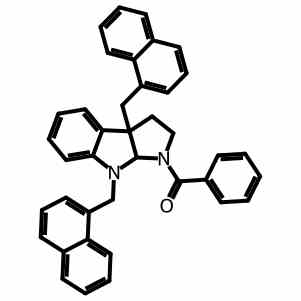 O=C(c1ccccc1)N1CCC2(Cc3cccc4ccccc34)c3ccccc3N(Cc3cccc4ccccc34)C12